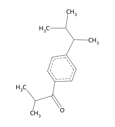 CC(C)C(=O)c1ccc(C(C)C(C)C)cc1